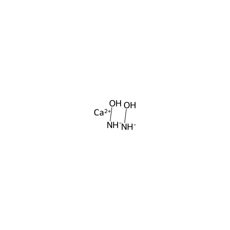 [Ca+2].[NH-]O.[NH-]O